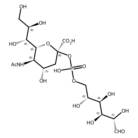 CC(=O)N[C@H]1[C@H]([C@H](O)[C@H](O)CO)O[C@](OP(=O)(O)OC[C@@H](O)[C@@H](O)[C@H](O)[C@H](O)C=O)(C(=O)O)C[C@@H]1O